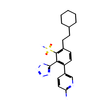 Nc1ccc(-c2ccc(CCC3CCCCC3)c(S(N)(=O)=O)c2-c2nnn[nH]2)cn1